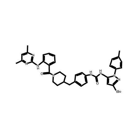 Cc1ccc(-n2nc(C(C)(C)C)cc2NC(=O)Nc2ccc(CC3CCN(C(=O)c4ccccc4Nc4nc(C)cc(C)n4)CC3)cc2)cc1